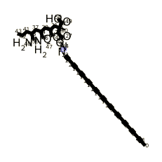 CC#CC#CC#CC#CC#CC#CC#CC#CC#CC#CC#C/N=N/OC(=O)C[C@](C)(CC(CC(CN)CC(CN)CCC)C(=O)OC)C(=O)O